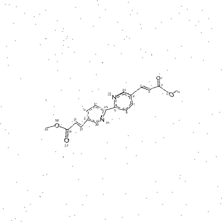 COC(=O)C=Cc1ccc(-c2ccc(C=CC(=O)OC)cn2)nc1